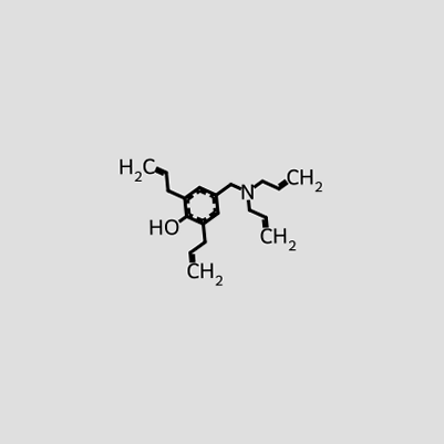 C=CCc1cc(CN(CC=C)CC=C)cc(CC=C)c1O